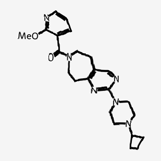 COc1ncccc1C(=O)N1CCc2cnc(N3CCN(C4CCC4)CC3)nc2CC1